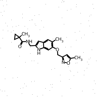 Cc1cc(COc2cc3[nH]c(CNC(=O)C4(C)CC4)cc3cc2C)no1